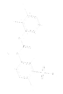 NS(=O)(=O)c1c(Cl)ccc(NC(=O)Nc2cccc(Cl)c2Cl)c1[O-].[Na+]